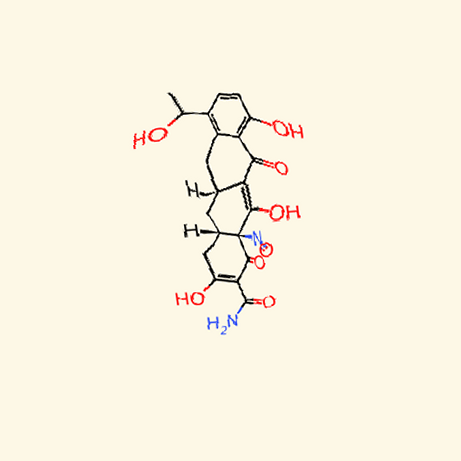 CC(O)c1ccc(O)c2c1C[C@H]1C[C@H]3CC(O)=C(C(N)=O)C(=O)[C@@]3(N=O)C(O)=C1C2=O